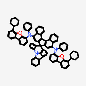 c1ccc(N(c2cc3c(c4ccccc24)-c2c(cc(N(c4ccccc4)c4cccc5c4oc4c(C6CCCCC6)cccc45)c4ccccc24)C32c3ccccc3-n3c4ccccc4c4cccc2c43)c2cccc3c2oc2c(C4CCCCC4)cccc23)cc1